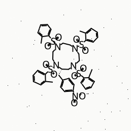 Cc1ccccc1S(=O)(=O)N1CCN(S(=O)(=O)c2ccccc2C)CCN(S(=O)(=O)c2ccccc2C)[C@@H](Cc2ccc([N+](=O)[O-])cc2)CN(S(=O)(=O)c2ccccc2C)CC1